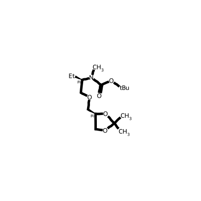 CC[C@H](COC[C@@H]1COC(C)(C)O1)N(C)C(=O)OC(C)(C)C